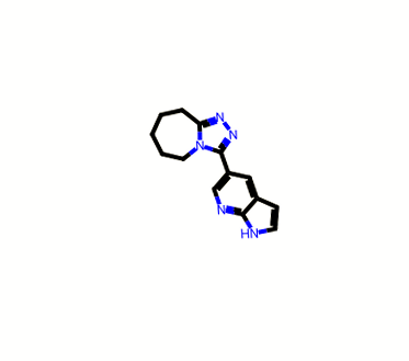 c1cc2cc(-c3nnc4n3CCCCC4)cnc2[nH]1